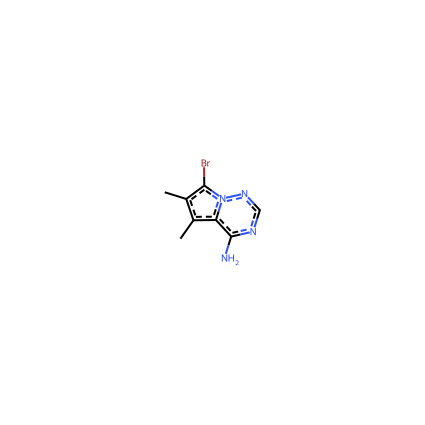 Cc1c(C)c2c(N)ncnn2c1Br